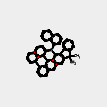 CC1(C)c2ccccc2-c2c(N(c3ccccc3-c3cccc4cccc(-c5ccccc5)c34)c3cccc4ccccc34)cccc21